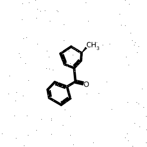 C[C@H]1C=C(C(=O)c2ccccc2)C=CC1